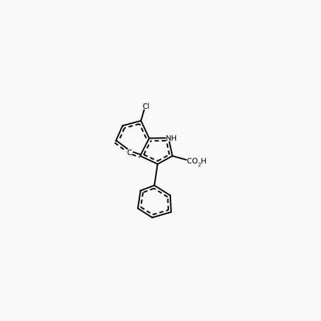 O=C(O)c1[nH]c2c(Cl)cccc2c1-c1ccccc1